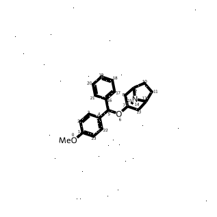 COc1ccc(C(OC2CC3CCC(C2)N3C)c2ccccc2)cc1